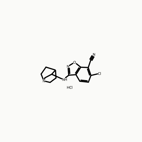 Cl.N#Cc1c(Cl)ccc2c(NC3CN4CCC3CC4)noc12